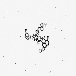 CCc1c(F)ccc2cc(OCOC)cc(-c3ncc4c(N5CC(CC(=O)O)C5)nc(OC[C@@]56CCCN5C[C@H](F)C6)nc4c3F)c12